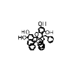 Oc1cc(O)c2c(c1)OC(Cc1ccccc1)(c1ccc(O)c(O)c1)C(Cc1ccccc1)(OCc1ccccc1)C2(Cc1ccccc1)Cc1ccccc1